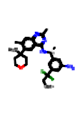 COCC(F)(F)c1cc(N)cc([C@@H](C)Nc2nc(C)nc3cc(C)c(C4(OC)CCOCC4)cc23)c1